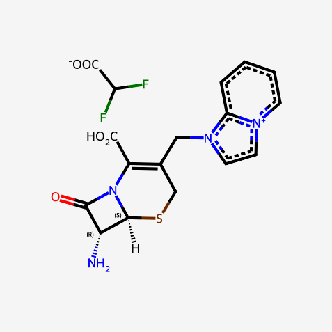 N[C@@H]1C(=O)N2C(C(=O)O)=C(Cn3cc[n+]4ccccc34)CS[C@@H]12.O=C([O-])C(F)F